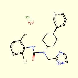 CC(C)c1cccc(C(C)C)c1NC(=O)N(Cc1ncc[nH]1)[C@H]1CC[C@H](c2ccccc2)CC1.Cl.O